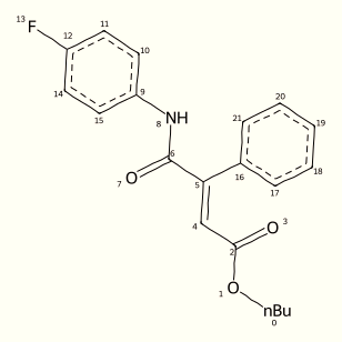 CCCCOC(=O)/C=C(/C(=O)Nc1ccc(F)cc1)c1ccccc1